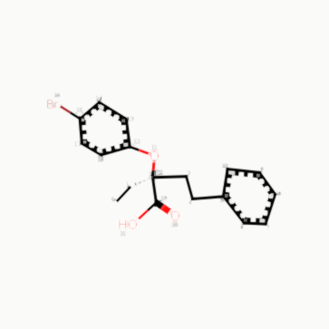 CC[C@@](CCc1ccccc1)(Oc1ccc(Br)cc1)C(=O)O